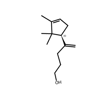 C=C(CCCO)[C@@H]1CC=C(C)C1(C)C